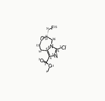 COC(=O)c1nc(Cl)n2c1CCO[C@H](CF)C2